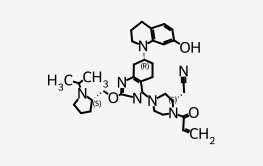 C=CC(=O)N1CCN(c2nc(OC[C@@H]3CCCN3C(C)C)nc3c2CC[C@@H](N2CCCc4ccc(O)cc42)C3)C[C@@H]1CC#N